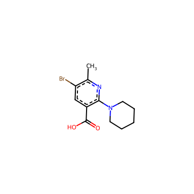 Cc1nc(N2CCCCC2)c(C(=O)O)cc1Br